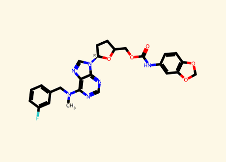 CN(Cc1cccc(F)c1)c1ncnc2c1ncn2[C@H]1CCC(COC(=O)Nc2ccc3c(c2)OCO3)O1